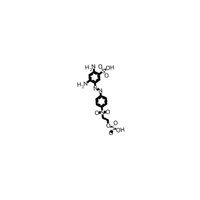 Nc1cc(N)c(S(=O)(=O)O)cc1N=Nc1ccc(S(=O)(=O)CCOS(=O)(=O)O)cc1